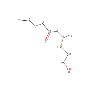 CCCCC(=O)CC(C)SCCO